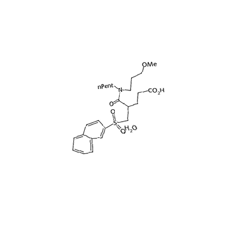 CCCCCN(CCCOC)C(=O)C(CCC(=O)O)CS(=O)(=O)c1ccc2ccccc2c1.O